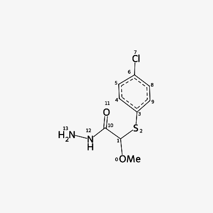 COC(Sc1ccc(Cl)cc1)C(=O)NN